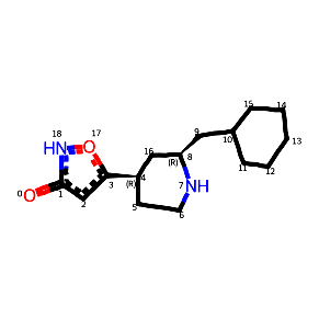 O=c1cc([C@@H]2CCN[C@H](CC3CCCCC3)C2)o[nH]1